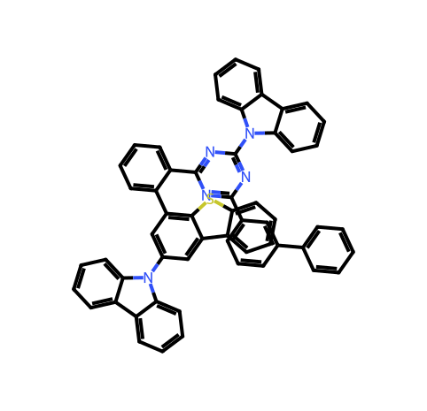 c1ccc(-c2cccc(-c3nc(-c4ccccc4-c4cc(-n5c6ccccc6c6ccccc65)cc5c4sc4ccccc45)nc(-n4c5ccccc5c5ccccc54)n3)c2)cc1